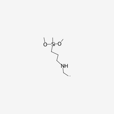 [CH2]CNCCC[Si](C)(OC)OC